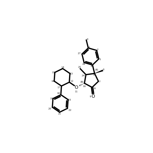 Cc1ccc([C@]2(C)CC(=O)[C@H](OC3CCCCC3c3ccccc3)C2C)cc1